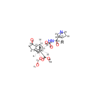 COCO[C@H]1[C@H](C)C23CCC(=O)C2[C@@](C)([C@H](C)CC3)[C@H](OC(=O)NC(=O)[C@H]2CN3CC[C@@H]2C3)C[C@@]1(C)C(=O)OC